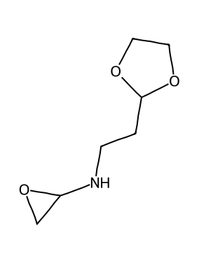 C(CC1OCCO1)NC1CO1